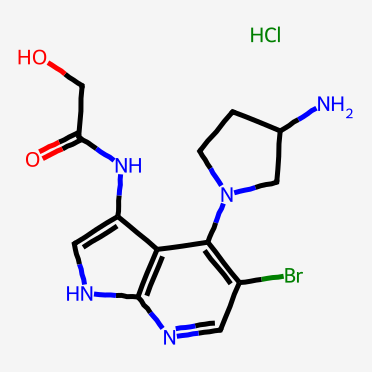 Cl.NC1CCN(c2c(Br)cnc3[nH]cc(NC(=O)CO)c23)C1